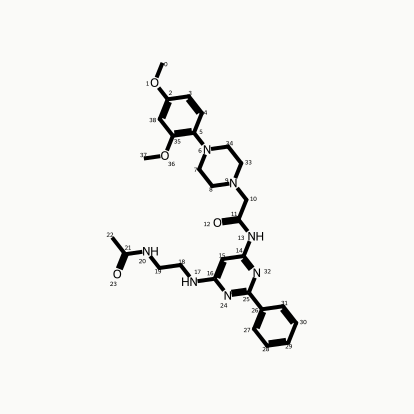 COc1ccc(N2CCN(CC(=O)Nc3cc(NCCNC(C)=O)nc(-c4ccccc4)n3)CC2)c(OC)c1